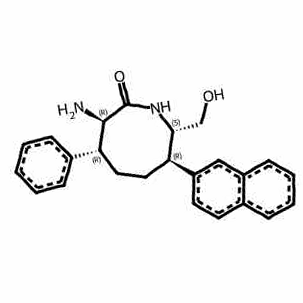 N[C@H]1C(=O)N[C@H](CO)[C@@H](c2ccc3ccccc3c2)CC[C@@H]1c1ccccc1